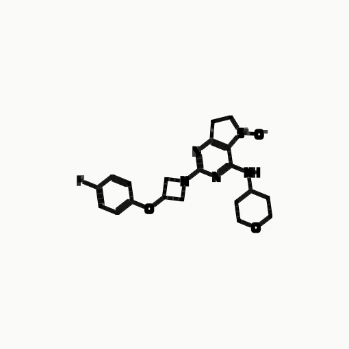 [O-][S+]1CCc2nc(N3CC(Oc4ccc(F)cc4)C3)nc(NC3CCOCC3)c21